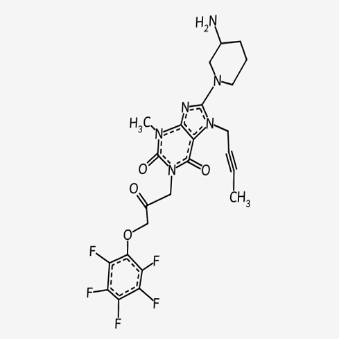 CC#CCn1c(N2CCCC(N)C2)nc2c1c(=O)n(CC(=O)COc1c(F)c(F)c(F)c(F)c1F)c(=O)n2C